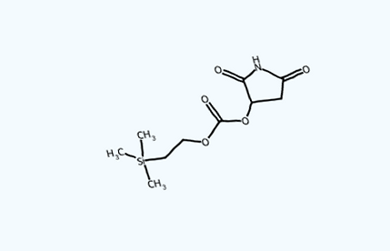 C[Si](C)(C)CCOC(=O)OC1CC(=O)NC1=O